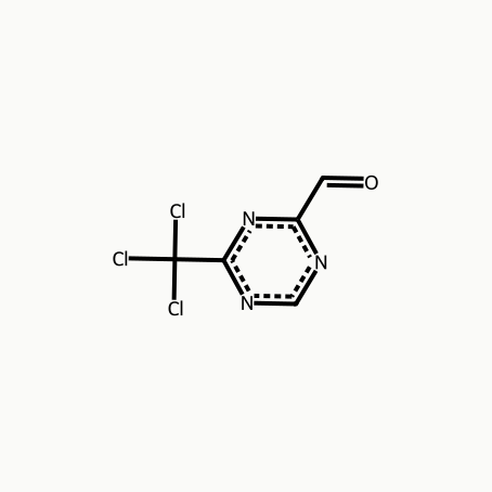 O=Cc1ncnc(C(Cl)(Cl)Cl)n1